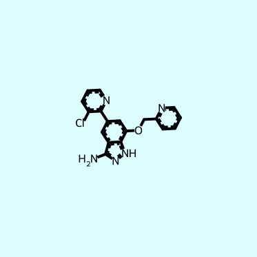 Nc1n[nH]c2c(OCc3ccccn3)cc(-c3ncccc3Cl)cc12